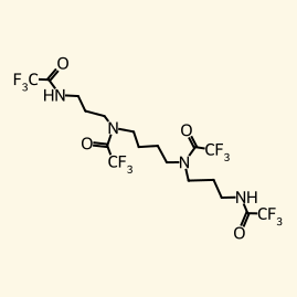 O=C(NCCCN(CCCCN(CCCNC(=O)C(F)(F)F)C(=O)C(F)(F)F)C(=O)C(F)(F)F)C(F)(F)F